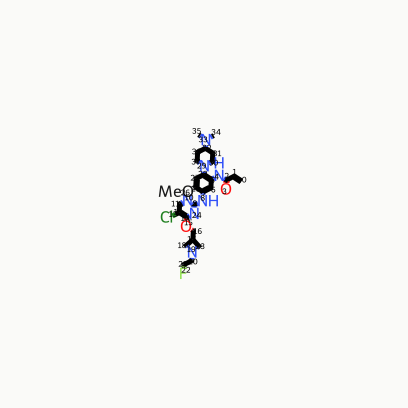 C=CC(=O)Nc1cc(Nc2ncc(Cl)c(OCC3CN(CCF)C3)n2)c(OC)cc1N1CCC(N(C)C)CC1